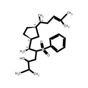 CC(C)=CC[C@H](C)[C@@H]1CC[C@H]([C@H](C)C(CC(O)C(C)C)S(=O)(=O)c2ccccc2)C1